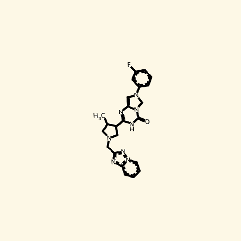 CC1CN(Cc2nc3ccccn3n2)CC1C1=NC2=CN(c3cccc(F)c3)CN2C(=O)N1